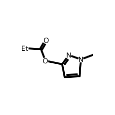 CCC(=O)Oc1ccn(C)n1